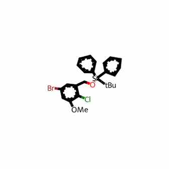 COc1cc(Br)cc(CO[Si](c2ccccc2)(c2ccccc2)C(C)(C)C)c1Cl